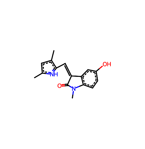 Cc1cc(C)c(/C=C2\C(=O)N(C)c3ccc(O)cc32)[nH]1